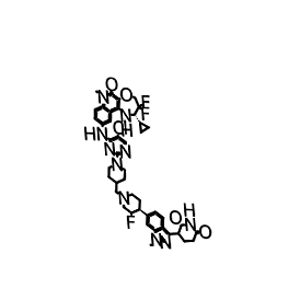 Cn1nc(C2CCC(=O)NC2=O)c2ccc([C@@H]3CCN(CC4CCN(c5ncc(Cl)c(Nc6ccc7c(c6)c6c(c(=O)n7C)OCC(F)(F)[C@H](C7CC7)N6)n5)CC4)C[C@@H]3F)cc21